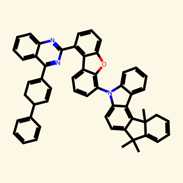 CC1(C)C2=CC=CCC2(C)c2c1ccc1c2c2ccccc2n1-c1cccc2c1oc1cccc(-c3nc(C4=CCC(c5ccccc5)C=C4)c4ccccc4n3)c12